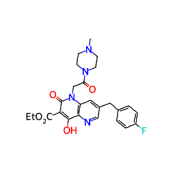 CCOC(=O)c1c(O)c2ncc(Cc3ccc(F)cc3)cc2n(CC(=O)N2CCN(C)CC2)c1=O